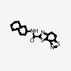 O=C(Nc1ccc2ccccc2c1)c1nc2ccc3scnc3c2s1